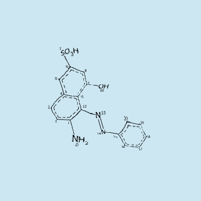 Nc1ccc2cc(S(=O)(=O)O)cc(O)c2c1/N=N/c1ccccc1